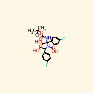 CC(C)(C)OC(=O)NC(C(=O)O)(c1ccc(F)cc1)N(C(=O)O)C(CO)c1ccc(F)cc1